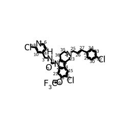 O=C(NCc1ccnc(Cl)c1)n1c2c(c3cc(Cl)c(OC(F)(F)F)cc31)CN(CC=Cc1ccc(Cl)cc1)CC2